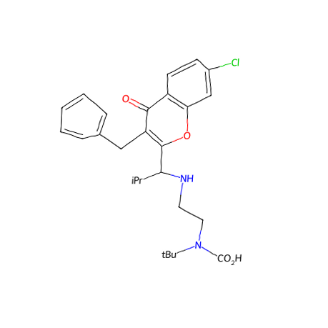 CC(C)C(NCCN(C(=O)O)C(C)(C)C)c1oc2cc(Cl)ccc2c(=O)c1Cc1ccccc1